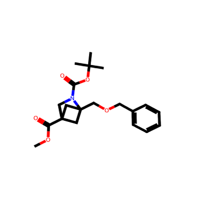 COC(=O)C12CN(C(=O)OC(C)(C)C)C(COCc3ccccc3)(C1)C2